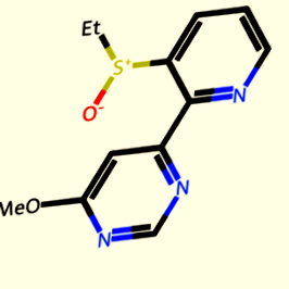 CC[S+]([O-])c1cccnc1-c1cc(OC)ncn1